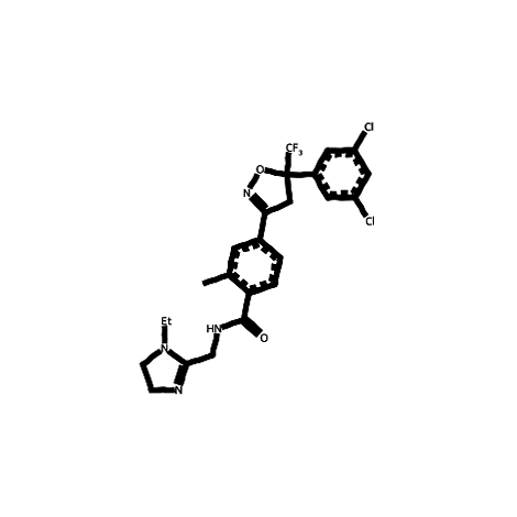 CCN1CCN=C1CNC(=O)c1ccc(C2=NOC(c3cc(Cl)cc(Cl)c3)(C(F)(F)F)C2)cc1C